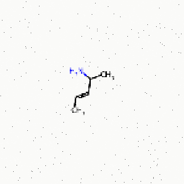 C/C=C/C(C)N